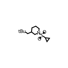 CC(C)(C)CC1CCCN(S(=O)(=O)C2CC2)C1